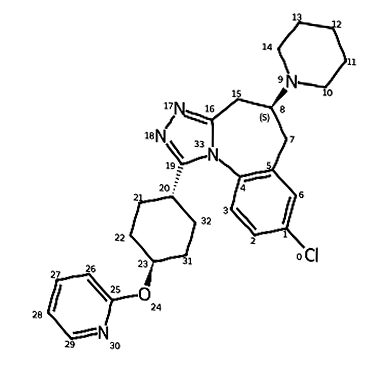 Clc1ccc2c(c1)C[C@H](N1CCCCC1)Cc1nnc([C@H]3CC[C@H](Oc4ccccn4)CC3)n1-2